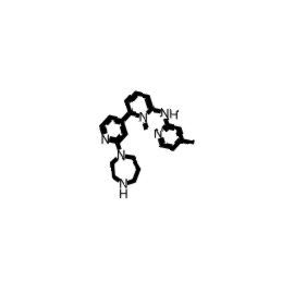 Cc1ccnc(NC2=CC=CC(c3ccnc(N4CCCNCC4)c3)N2C)c1